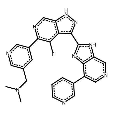 CN(C)Cc1cncc(-c2ncc3[nH]nc(-c4nc5c(-c6cccnc6)cncc5[nH]4)c3c2F)c1